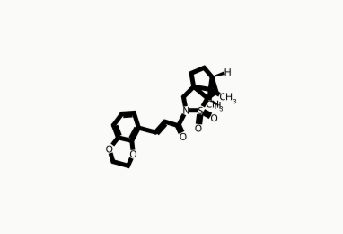 CC1(C)[C@@H]2CCC13CN(C(=O)C=Cc1cccc4c1OCCO4)S(=O)(=O)[C@@H]3C2